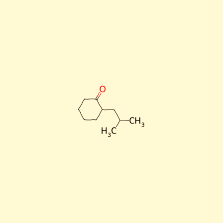 CC(C)CC1CCCCC1=O